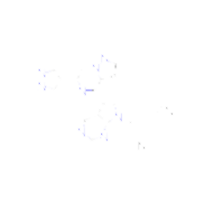 Cn1cc(-c2cn3nccc3c(-c3cn(C4(CC#N)CC(C#N)C4)c4ncncc34)n2)cn1